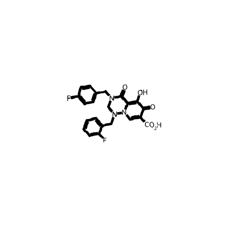 O=C(O)c1cn2c(c(O)c1=O)C(=O)N(Cc1ccc(F)cc1)CN2Cc1ccccc1F